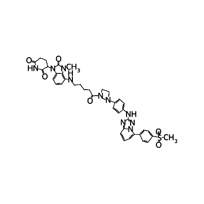 Cn1c(=O)n(C2CCC(=O)NC2=O)c2cccc(NCCCCC(=O)N3CCN(c4ccc(Nc5nc6cccc(-c7ccc(S(C)(=O)=O)cc7)n6n5)cc4)C3)c21